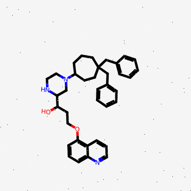 OC(CCOc1cccc2ncccc12)C1CN(C2CCCC(Cc3ccccc3)(Cc3ccccc3)CC2)CCN1